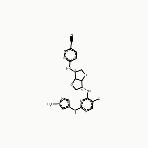 Cn1cc(Nc2ncc(Cl)c(N[C@@H]3COC4C3OC[C@@H]4Nc3ccc(C#N)nn3)n2)cn1